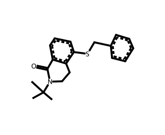 CC(C)(C)N1CCc2c(SCc3ccccc3)cccc2C1=O